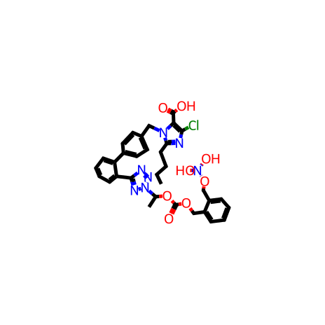 CCCCc1nc(Cl)c(C(=O)O)n1Cc1ccc(-c2ccccc2-c2nnn(C(C)OC(=O)OCc3ccccc3CON(O)O)n2)cc1